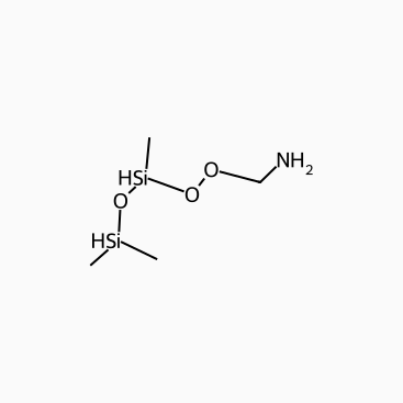 C[SiH](C)O[SiH](C)OOCN